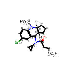 O=C(O)CCC(=O)N(C1CC1)C1c2cc(Br)ccc2N(C(=O)O)[C@@H]2CCC[C@H]12